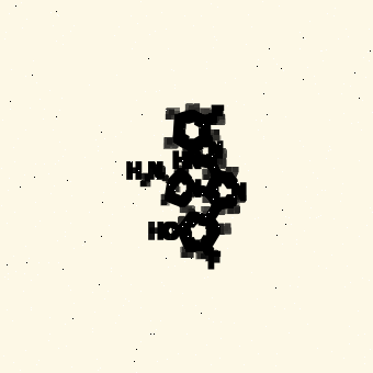 N[C@H]1CCN(c2c(-c3cc(O)cc(F)c3)cncc2-c2nc3c(F)cccc3[nH]2)C1